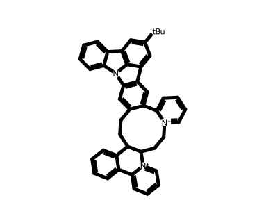 CC(C)(C)c1cc2c3ccccc3n3c4cc5c(cc4c(c1)c23)-c1cccc[n+]1CCC1C(CC5)c2ccccc2-c2cccc[n+]21